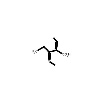 C/C=C(C(=O)O)\C(CC(F)(F)F)=N/C